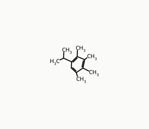 Cc1cc(C(C)C)c(C)c(C)c1C